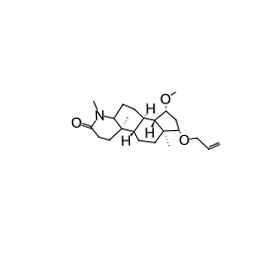 C=CCO[C@H]1C[C@@H](OC)[C@H]2[C@@H]3CCC4N(C)C(=O)CC[C@]4(C)[C@H]3CC[C@@]21C